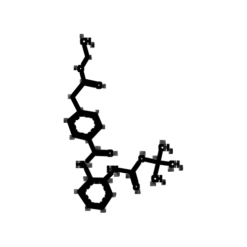 CCOC(=O)Cc1ccc(C(=O)Nc2ccccc2NC(=O)OC(C)(C)C)cc1